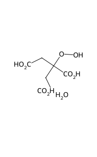 O.O=C(O)CC(CC(=O)O)(OO)C(=O)O